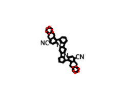 N#Cc1cc2c(c3c1C1c4ccccc4C3c3ccccc31)c1cccc3c4cc5c(cc4n2c31)c1cccc2c3c4c(c(C#N)cc3n5c12)C1c2ccccc2C4c2ccccc21